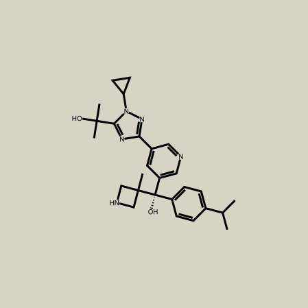 CC(C)c1ccc([C@](O)(c2cncc(-c3nc(C(C)(C)O)n(C4CC4)n3)c2)C2(C)CNC2)cc1